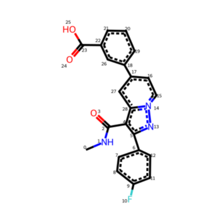 CNC(=O)c1c(-c2ccc(F)cc2)nn2ccc(-c3cccc(C(=O)O)c3)cc12